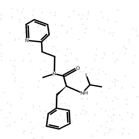 CC(I)N[C@@H](Cc1ccccc1)C(=O)N(C)CCc1ccccn1